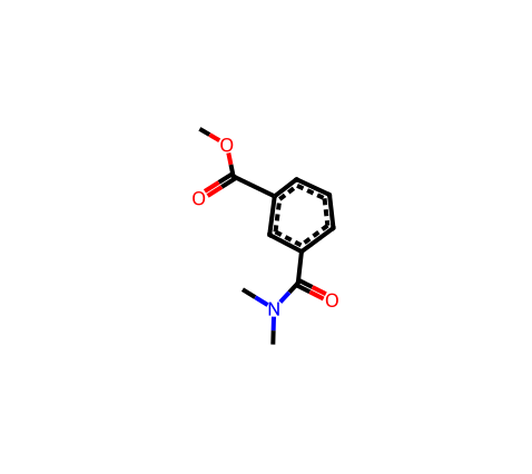 COC(=O)c1cccc(C(=O)N(C)C)c1